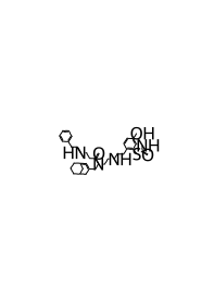 O=C(CCNCCc1ccccc1)N(CCNCCc1ccc(O)c2[nH]c(=O)sc12)CC1=C=C2CCCC(C2)C1